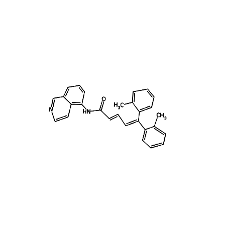 Cc1ccccc1C(=C/C=C/C(=O)Nc1cccc2cnccc12)c1ccccc1C